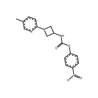 Cc1ccc(N2CC(NC(=O)Oc3ccc([N+](=O)[O-])cc3)C2)nc1